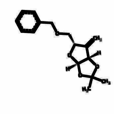 C=C1[C@H]2OC(C)(C)O[C@H]2O[C@@H]1COCc1ccccc1